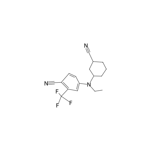 CCN(c1ccc(C#N)c(C(F)(F)F)c1)C1CCCC(C#N)C1